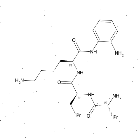 CC(C)C[C@H](NC(=O)[C@H](N)C(C)C)C(=O)N[C@@H](CCCCN)C(=O)Nc1ccccc1N